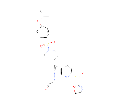 CC(C)Oc1ccc(S(=O)(=O)N2CCC(c3cn(CC=O)c4nc([S+]([O-])c5ncco5)ccc34)CC2)cc1